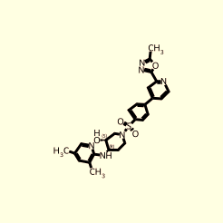 Cc1cnc(N[C@@H]2CCN(S(=O)(=O)c3ccc(-c4ccnc(-c5nnc(C)o5)c4)cc3)C[C@@H]2O)c(C)c1